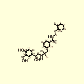 Cc1cccnc1CCNC(=O)c1cccc(CC(C)(C)NC[C@H](O)c2ccc(O)c(CO)c2)c1